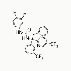 O=C(Nc1ccc(F)c(F)c1)NC(Cc1ccccc1)(c1cccc(C(F)(F)F)c1)c1ccc(C(F)(F)F)cn1